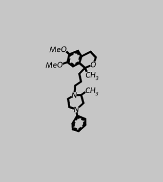 COc1cc2c(cc1OC)C(C)(CCCN1CCN(c3ccccc3)CC1C)OCC2